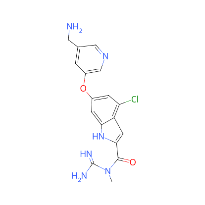 CN(C(=N)N)C(=O)c1cc2c(Cl)cc(Oc3cncc(CN)c3)cc2[nH]1